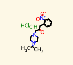 CC(C)N1CCN(CC(=O)Cc2ccccc2[N+](=O)[O-])CC1.Cl.Cl